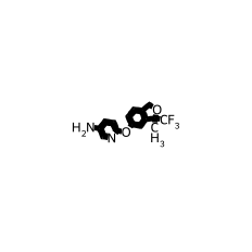 CC1(C(F)(F)F)OCc2ccc(Oc3ccc(N)cn3)cc21